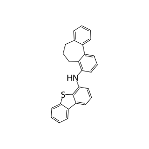 c1ccc2c(c1)CCCc1c(Nc3cccc4c3sc3ccccc34)cccc1-2